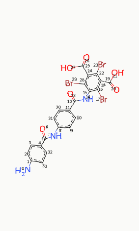 Nc1ccc(C(=O)Nc2ccc(C(=O)Nc3c(Br)c(C(=O)O)c(Br)c(C(=O)O)c3Br)cc2)cc1